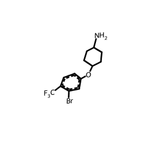 NC1CCC(Oc2ccc(C(F)(F)F)c(Br)c2)CC1